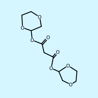 O=C(CC(=O)OC1COCCO1)OC1COCCO1